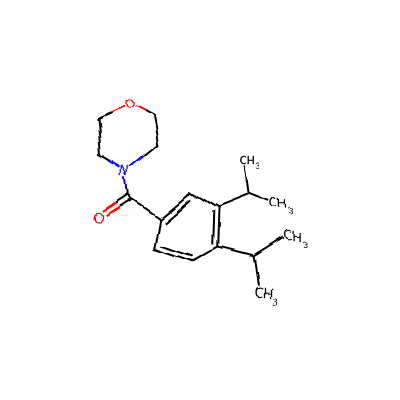 CC(C)c1ccc(C(=O)N2CCOCC2)cc1C(C)C